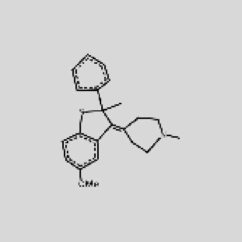 COc1ccc2c(c1)C(=C1CCN(C)CC1)C(C)(c1ccccc1)S2